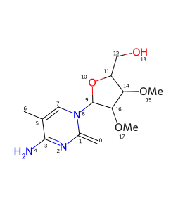 C=C1N=C(N)C(C)=CN1C1OC(CO)C(OC)C1OC